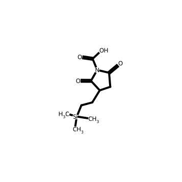 C[Si](C)(C)CCC1CC(=O)N(C(=O)O)C1=O